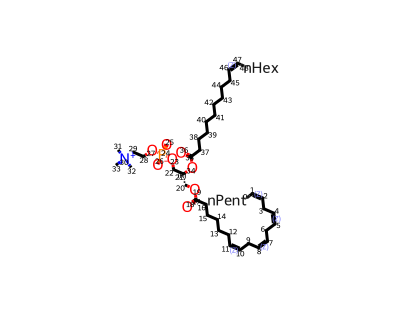 CCCCC/C=C\C/C=C\C/C=C\C/C=C\CCCCCC(=O)OC[C@H](COP(=O)([O-])OCC[N+](C)(C)C)OC(=O)CCCCCCCCC/C=C\CCCCCC